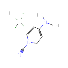 CN(C)C1=CCN(C#N)C=C1.F[B-](F)(F)F.[H+]